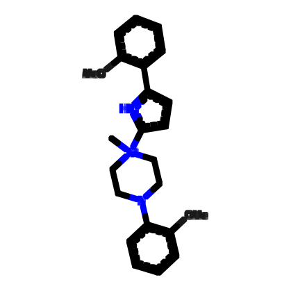 COc1ccccc1-c1ccc([N+]2(C)CCN(c3ccccc3OC)CC2)[nH]1